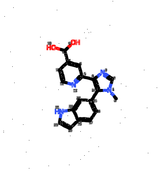 Cn1cnc(-c2cc(C(O)O)ccn2)c1-c1ccc2cc[nH]c2c1